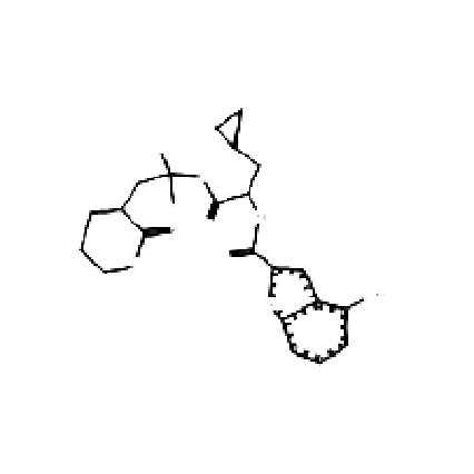 COc1cccc2[nH]c(C(=O)NC(CC3CC3)C(=O)NC(C)(C#N)CC3CCCNC3=O)cc12